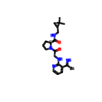 CC(=O)C(=N)c1cccnc1NCC(=O)N1CCC[C@H]1C(=O)NCC1CC1(C)C